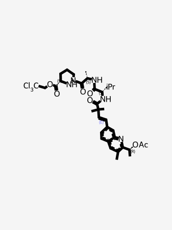 CC(=O)O[C@H](C)c1nc2cc(/C=C/C(C)(C)C(=O)N[C@H](C(=O)N[C@@H](C)C(=O)N3CCC[C@@H](C(=O)OCC(Cl)(Cl)Cl)N3)C(C)C)ccc2cc1C